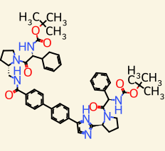 CC(C)(C)OC(=O)N[C@@H](C(=O)N1CCC[C@H]1c1ncc(-c2ccc(-c3ccc(C(=O)NC[C@@H]4CCCN4C(=O)[C@H](NC(=O)OC(C)(C)C)C4C=CC=CC4)cc3)cc2)[nH]1)c1ccccc1